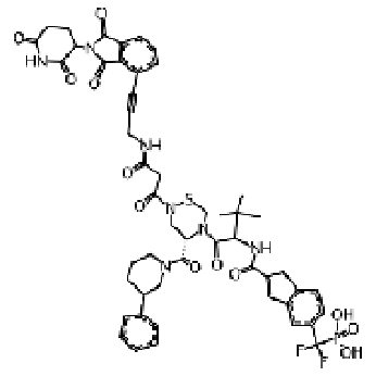 CC(C)(C)C(NC(=O)C1=Cc2cc(C(F)(F)P(=O)(O)O)ccc2C1)C(=O)N1CSN(C(=O)CC(=O)NCC#Cc2cccc3c2C(=O)N(C2CCC(=O)NC2=O)C3=O)C[C@H]1C(=O)N1CCC[C@H](c2ccccc2)C1